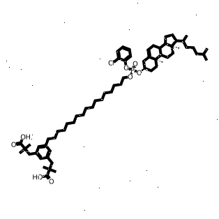 CC(C)CCCC(C)C1CCC2C3CC=C4C[C@H](OP(=O)(OCCCCCCCCCCCCCCCCCc5cc(CC(C)(C)C(=O)O)cc(CC(C)(C)C(=O)O)c5)Oc5ccccc5Cl)CC[C@]4(C)C3CC[C@]12C